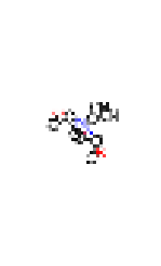 N#Cc1cc(-n2c3ccccc3c3c4c(ccc32)oc2ccccc24)c(-n2c3ccccc3c3c4c(ccc32)oc2ccccc24)cc1C#N